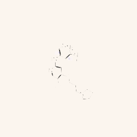 CN/C(N)=C/C(=C\N)Nc1cc(OCCCN2CCCC2)c(OC)cn1